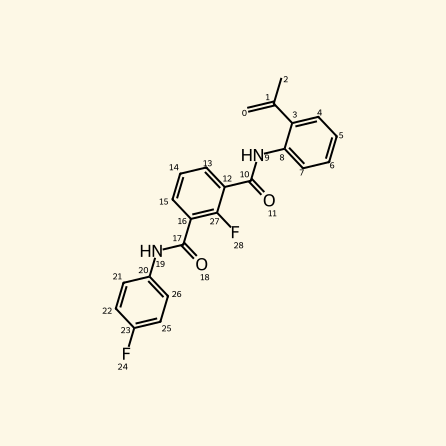 C=C(C)c1ccccc1NC(=O)c1cccc(C(=O)Nc2ccc(F)cc2)c1F